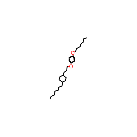 CCCCCCCOc1ccc(OCCCC2CCC(CCCCCCC)CC2)cc1